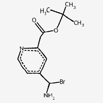 CC(C)(C)OC(=O)c1cc(C(N)Br)ccn1